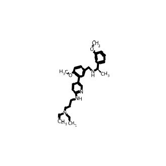 CCN(CC)CCCNc1ccc(-c2cc(CN[C@H](C)c3cccc(OC)c3)ccc2OC)cn1